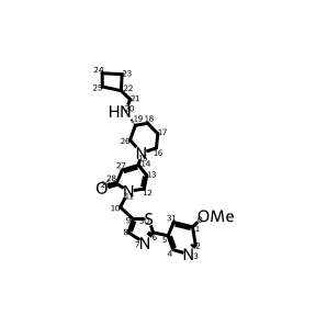 COc1cncc(-c2ncc(Cn3ccc(N4CCC[C@@H](NCC5CCC5)C4)cc3=O)s2)c1